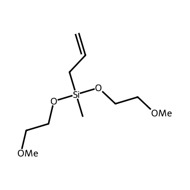 C=CC[Si](C)(OCCOC)OCCOC